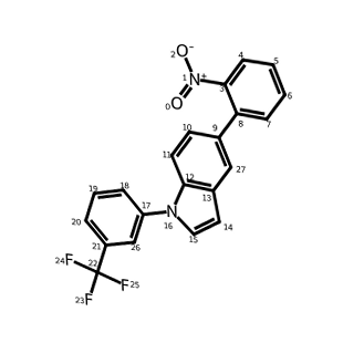 O=[N+]([O-])c1ccccc1-c1ccc2c(ccn2-c2cccc(C(F)(F)F)c2)c1